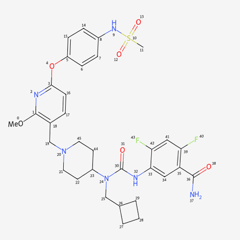 COc1nc(Oc2ccc(NS(C)(=O)=O)cc2)ccc1CN1CCC(N(CC2CCC2)C(=O)Nc2cc(C(N)=O)c(F)cc2F)CC1